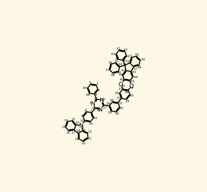 c1ccc(-c2nc(-c3ccc(-n4c5ccccc5c5ccccc54)cc3)nc(-c3cccc(-c4ccc5c(c4)Oc4cc6c(cc4O5)-c4ccccc4C6(c4ccccc4)c4ccccc4)c3)n2)cc1